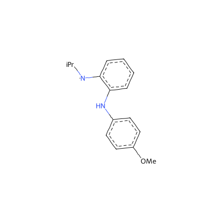 COc1ccc(Nc2ccccc2[N]C(C)C)cc1